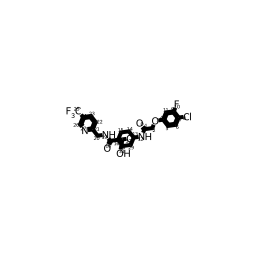 O=C(COc1ccc(Cl)c(F)c1)NC12CCC(C(=O)NCc3ccc(C(F)(F)F)cn3)(CC1)C(O)C2